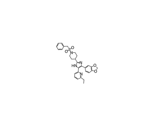 CCc1cccc(-c2[nH]c(C3CCN(S(=O)(=O)Cc4ccccc4)CC3)nc2-c2ccc3c(c2)OCO3)n1